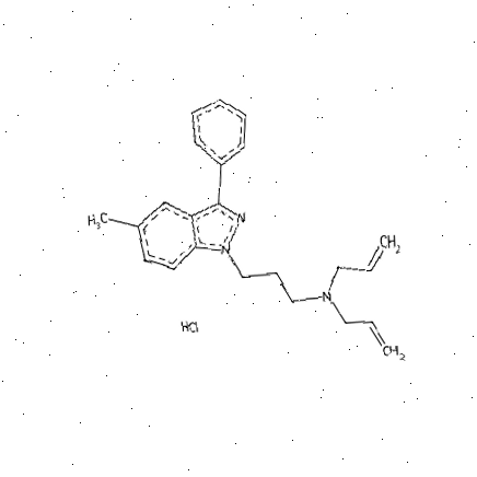 C=CCN(CC=C)CCCn1nc(-c2ccccc2)c2cc(C)ccc21.Cl